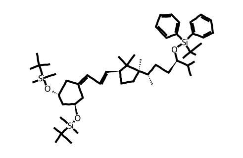 CC(C)[C@@H](CC[C@H](C)[C@@]1(C)CC[C@@H](/C=C/C=C2C[C@@H](O[Si](C)(C)C(C)(C)C)C[C@H](O[Si](C)(C)C(C)(C)C)C2)C1(C)C)O[Si](c1ccccc1)(c1ccccc1)C(C)(C)C